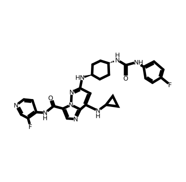 O=C(Nc1ccc(F)cc1)N[C@H]1CC[C@H](Nc2cc(NC3CC3)c3ncc(C(=O)Nc4ccncc4F)n3n2)CC1